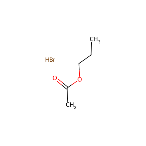 Br.CCCOC(C)=O